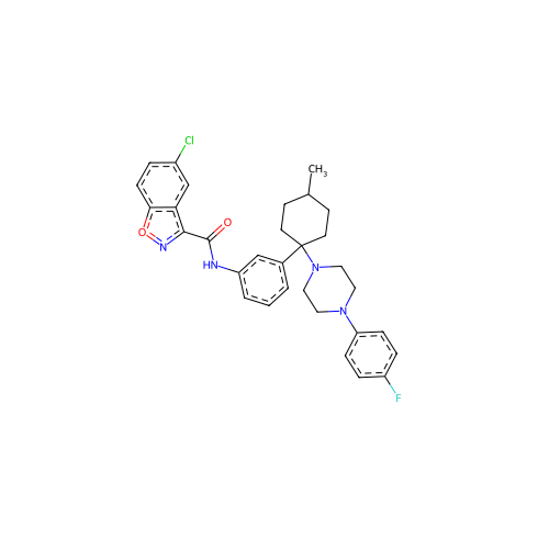 CC1CCC(c2cccc(NC(=O)c3noc4ccc(Cl)cc34)c2)(N2CCN(c3ccc(F)cc3)CC2)CC1